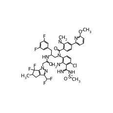 C=Nc1cc(-c2cccc(OC)n2)ccc1C(=O)N(CC(Cc1cc(F)cc(F)c1)NC(=O)Cn1nc(C(F)F)c2c1C(F)(F)C(C)C2)c1ccc(Cl)c(C(=N)N[S+](C)[O-])c1N